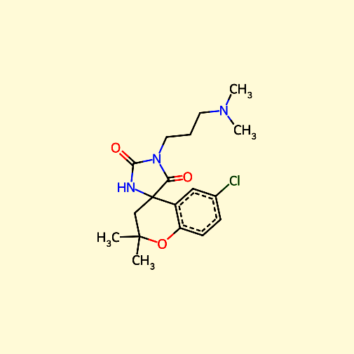 CN(C)CCCN1C(=O)NC2(CC(C)(C)Oc3ccc(Cl)cc32)C1=O